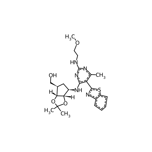 COCCNc1nc(C)c(-c2nc3ccccc3s2)c(N[C@@H]2C[C@H](CO)[C@H]3OC(C)(C)O[C@H]32)n1